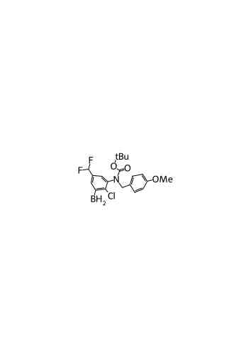 Bc1cc(C(F)F)cc(N(Cc2ccc(OC)cc2)C(=O)OC(C)(C)C)c1Cl